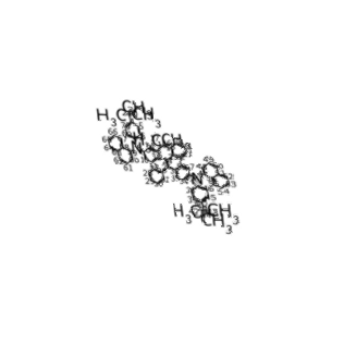 CC(C)(C)c1ccc(N(c2ccc3c(c2)C(C)(C)c2cccc4c2c-3c(-c2ccccc2)c2ccc(N(c3ccc(C(C)(C)C)cc3)c3cccc5ccccc35)cc24)c2cccc3ccccc23)cc1